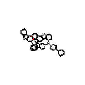 CC1(C)c2ccccc2-c2ccc(N(c3ccc(-c4ccccc4)cc3)c3cccc4oc5c6ccccc6c(-c6ccccc6-c6ccc7c(c6)sc6ccccc67)cc5c34)cc21